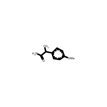 COc1ccc([C](C)C(N)=O)cc1